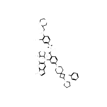 Cc1ccccc1[C@@H]1CCCN1C1CC2(CCN(c3ccc(C(=O)NS(=O)(=O)c4ccc(NC[C@]5(F)COCCO5)c([N+](=O)[O-])c4)c(N4c5cc6cc[nH]c6nc5O[C@@H]5COC[C@H]54)c3)CC2)C1